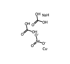 O=C(O)O.O=C(O)O.O=[N+]([O-])[O-].[Cu].[NaH]